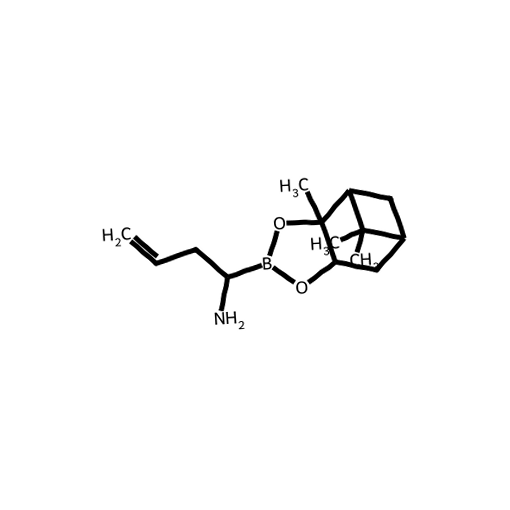 C=CCC(N)B1OC2CC3CC(C3(C)C)C2(C)O1